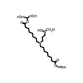 CCCCCCCCCOC(=O)CCCCCCCN(CCCCCCCC(=O)OC(CCCCCCCC)CCCCCCCC)CCCN(O)C(=O)O